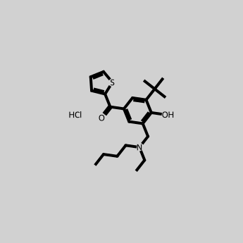 CCCCN(CC)Cc1cc(C(=O)c2cccs2)cc(C(C)(C)C)c1O.Cl